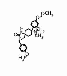 COCOc1ccc([C@]2(N(C)C)CC[C@]3(CC2)CN(Cc2ccc(OC)cc2)C(=O)N3)cc1